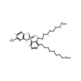 CCCCCCCCCCCCCCCCCCc1cccc(S(=O)(=O)Oc2cccc(O)c2)c1CCCCCCCCCCCCCCCCCC